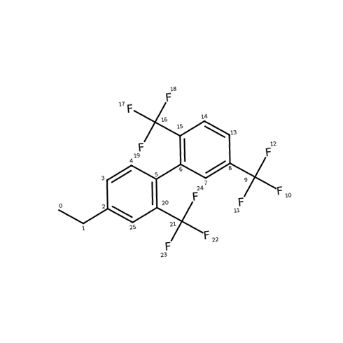 CCc1ccc(-c2cc(C(F)(F)F)ccc2C(F)(F)F)c(C(F)(F)F)c1